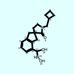 O=C1N(CC2CCC2)CCC12Cc1cccc(C(O)NO)c1C2